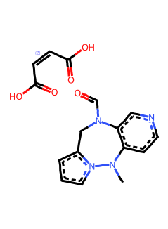 CN1c2ccncc2N(C=O)Cc2cccn21.O=C(O)/C=C\C(=O)O